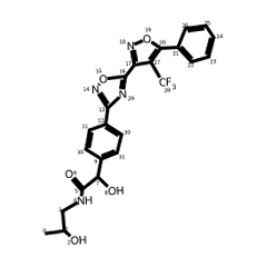 CC(O)CNC(=O)C(O)c1ccc(-c2noc(-c3noc(-c4ccccc4)c3C(F)(F)F)n2)cc1